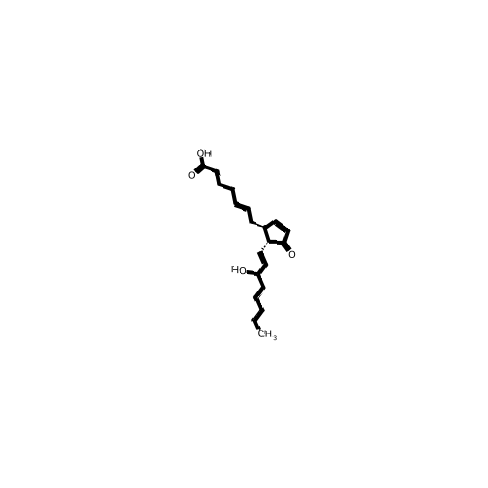 CCCCCC(O)C=C[C@H]1C(=O)C=C[C@@H]1CC=CCCCC(=O)O